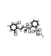 NS(=O)(=O)c1ccccc1NS(=O)(=O)C=Cc1c(Cl)cccc1Cl